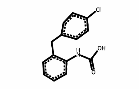 O=C(O)Nc1ccccc1Cc1ccc(Cl)cc1